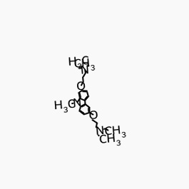 CCN(CC)CCCOc1ccc2c(c1)c1ccc(OCCCN(CC)CC)cc1n2C